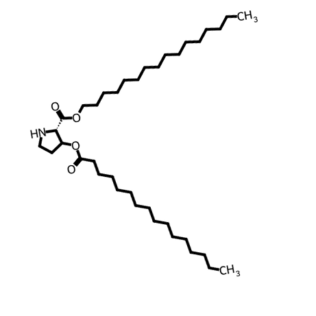 CCCCCCCCCCCCCCCCOC(=O)[C@H]1NCCC1OC(=O)CCCCCCCCCCCCCCC